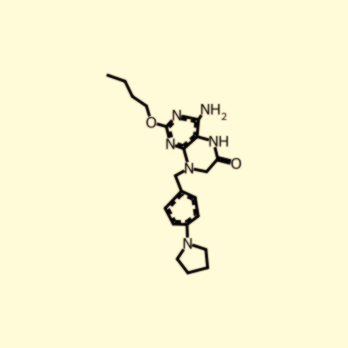 CCCCOc1nc(N)c2c(n1)N(Cc1ccc(N3CCCC3)cc1)CC(=O)N2